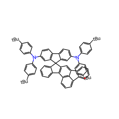 CC(C)(C)c1ccc(N(c2ccc(C(C)(C)C)cc2)c2ccc3c(c2)C2(c4cc(N(c5ccc(C(C)(C)C)cc5)c5ccc(C(C)(C)C)cc5)ccc4-3)c3ccccc3-c3c2cc2c4c(cccc34)-c3ccccc3-2)cc1